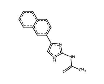 CC(=O)Nc1nc(-c2ccc3ccccc3c2)c[nH]1